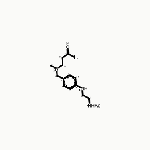 CC(=O)NCCNc1ccc(CN(C)CCC(=O)I)cc1